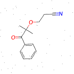 CC(C)(OCCC#N)C(=O)c1ccccc1